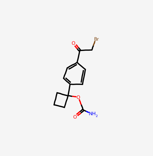 NC(=O)OC1(c2ccc(C(=O)CBr)cc2)CCC1